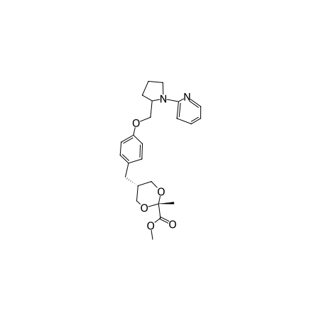 COC(=O)[C@]1(C)OC[C@H](Cc2ccc(OCC3CCCN3c3ccccn3)cc2)CO1